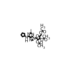 CC(=O)OCC1OC(n2cnc3c(NC4CCCC4)nc(I)nc32)C(OC(C)=O)C1OC(C)=O